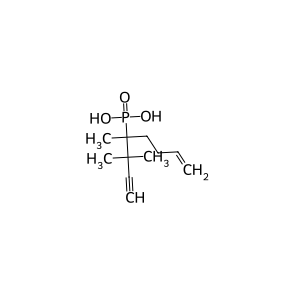 C#CC(C)(C)C(C)(CCC=C)P(=O)(O)O